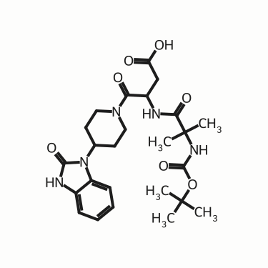 CC(C)(C)OC(=O)NC(C)(C)C(=O)NC(CC(=O)O)C(=O)N1CCC(n2c(=O)[nH]c3ccccc32)CC1